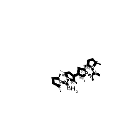 BN(P1[C@H](C)CC[C@H]1C)P1[C@H](C)CC(C2C[C@@H](C)P(N(C)N(C)P3[C@H](C)CC[C@H]3C)[C@@H]2C)[C@H]1C